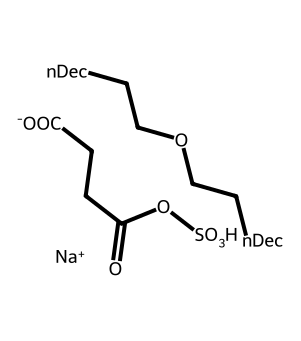 CCCCCCCCCCCCOCCCCCCCCCCCC.O=C([O-])CCC(=O)OS(=O)(=O)O.[Na+]